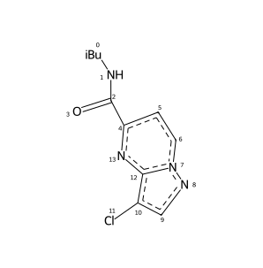 CCC(C)NC(=O)c1ccn2ncc(Cl)c2n1